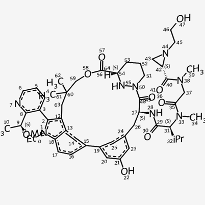 CCn1c(-c2cccnc2[C@H](C)OC)c2c3cc(ccc31)-c1cc(O)cc(c1)C[C@H](NC(=O)[C@H](C(C)C)N(C)C(=O)CN(C)C(=O)[C@@H]1CN1CCO)C(=O)N1CCC[C@H](N1)C(=O)OCC(C)(C)C2